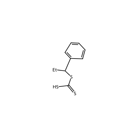 CCC(SC(=S)S)c1ccccc1